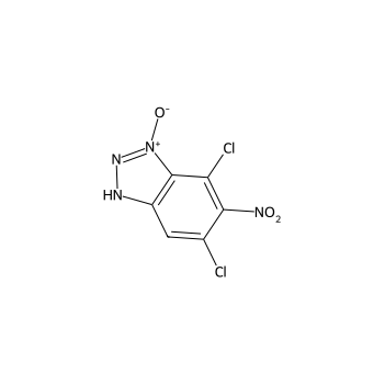 O=[N+]([O-])c1c(Cl)cc2[nH]n[n+]([O-])c2c1Cl